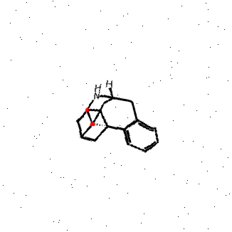 c1ccc2c(c1)C[C@H]1NCC[C@@]23CC2CCC13CC2